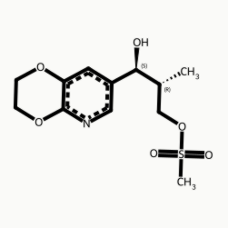 C[C@H](COS(C)(=O)=O)[C@H](O)c1cnc2c(c1)OCCO2